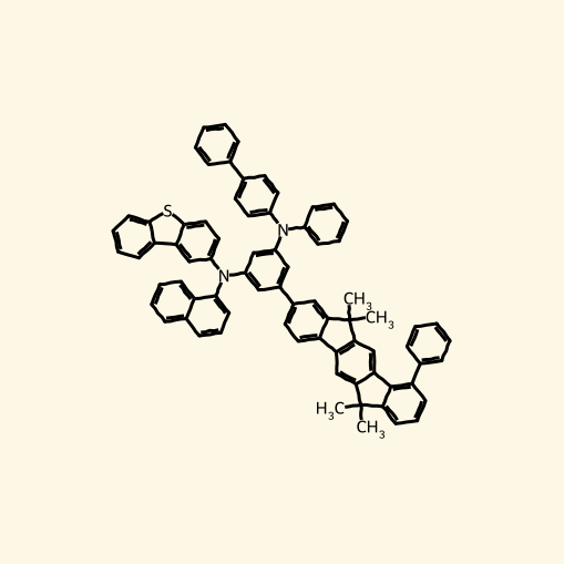 CC1(C)c2cc(-c3cc(N(c4ccccc4)c4ccc(-c5ccccc5)cc4)cc(N(c4ccc5sc6ccccc6c5c4)c4cccc5ccccc45)c3)ccc2-c2cc3c(cc21)-c1c(-c2ccccc2)cccc1C3(C)C